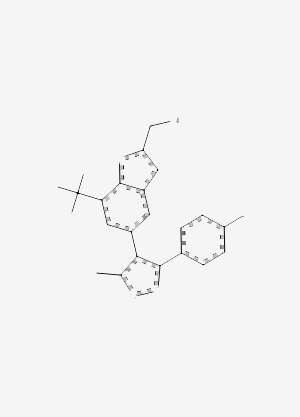 Cc1noc(-c2ccc(F)cc2)c1-c1cc(C(F)(F)F)c2oc(CN)cc2c1